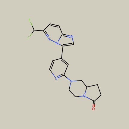 O=C1CCC2CN(c3cc(-c4cnc5ccc(C(F)F)nn45)ccn3)CCN12